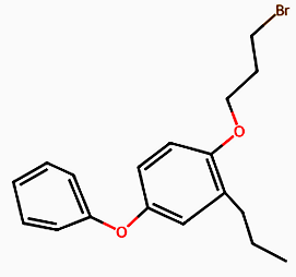 CCCc1cc(Oc2ccccc2)ccc1OCCCBr